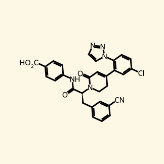 N#Cc1cccc(C[C@@H](C(=O)Nc2ccc(C(=O)O)cc2)N2CCC(c3cc(Cl)ccc3-n3ccnn3)=CC2=O)c1